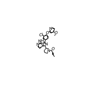 CC#CC(=O)N1CCCC(c2nc(-c3ccc(Oc4cc(OC)ccn4)c(Cl)c3)n3c(N)nccc23)C1